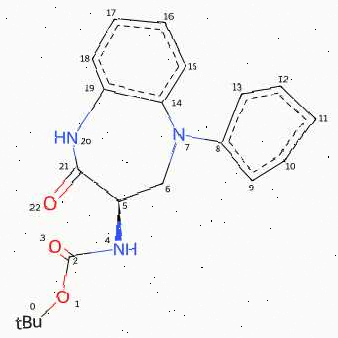 CC(C)(C)OC(=O)N[C@@H]1CN(c2ccccc2)c2ccccc2NC1=O